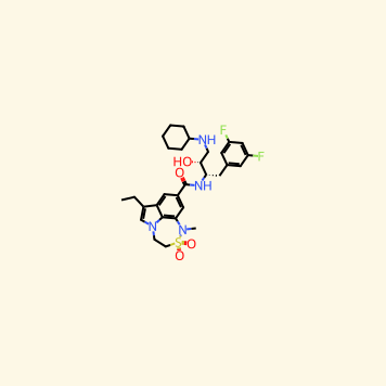 CCc1cn2c3c(cc(C(=O)N[C@@H](Cc4cc(F)cc(F)c4)[C@H](O)CNC4CCCCC4)cc13)N(C)S(=O)(=O)CC2